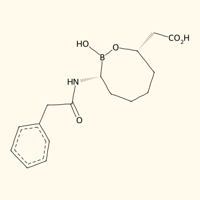 O=C(O)C[C@@H]1CCCC[C@H](NC(=O)Cc2ccccc2)B(O)O1